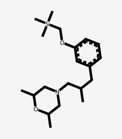 CC(Cc1cccc(OC[Si](C)(C)C)c1)CN1CC(C)OC(C)C1